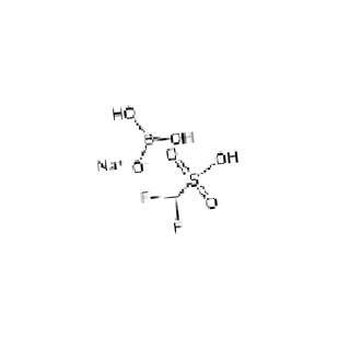 O=S(=O)(O)C(F)F.[Na+].[O-]B(O)O